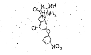 CN(C(=N)N)C(=O)c1cc2c(Cl)cc(Oc3cccc([N+](=O)[O-])c3)cc2[nH]1